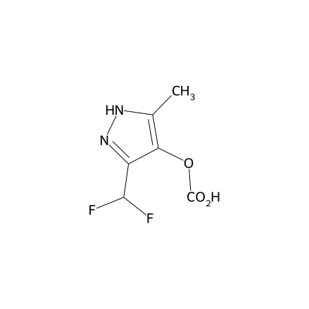 Cc1[nH]nc(C(F)F)c1OC(=O)O